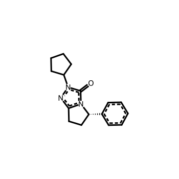 O=c1n(C2CCCC2)nc2n1[C@H](c1ccccc1)CC2